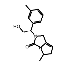 Cc1cccc([C@@H](CO)N2CC3=CCC(C)N3C2=O)c1